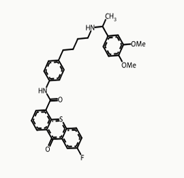 COc1ccc(C(C)NCCCCc2ccc(NC(=O)c3cccc4c(=O)c5cc(F)ccc5sc34)cc2)cc1OC